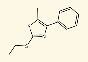 CCSc1nc(-c2ccccc2)c(C)s1